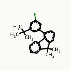 CC(C)(C)c1cc(F)cc(-c2cccc3c2-c2ccccc2C3(C)C)c1